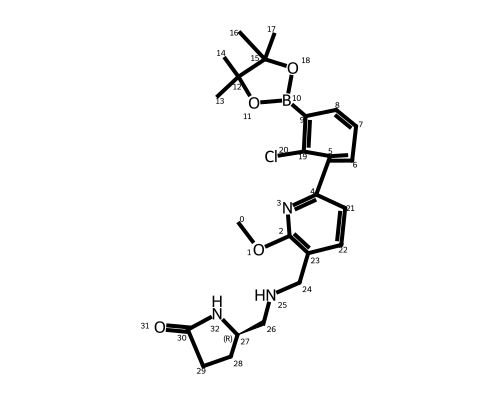 COc1nc(-c2cccc(B3OC(C)(C)C(C)(C)O3)c2Cl)ccc1CNC[C@H]1CCC(=O)N1